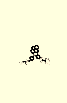 C=CC(=O)OCc1ccc(N(C2=CCc3ccc4c5c(ccc2c35)CC=C4)c2ccc(OC(=O)C(=C)C)cc2)cc1